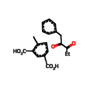 CCC(=O)C(=O)Cc1ccccc1.Cc1ccc(C(=O)O)cc1C(=O)O